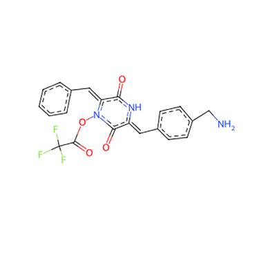 NCc1ccc(C=c2[nH]c(=O)c(=Cc3ccccc3)n(OC(=O)C(F)(F)F)c2=O)cc1